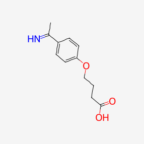 CC(=N)c1ccc(OCCCC(=O)O)cc1